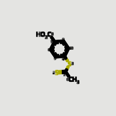 CC(=S)Sc1ccc(C(=O)O)cc1